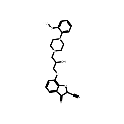 COc1ccccc1N1CCN(CC(O)COc2cccc3c2OC(C#N)C3=O)CC1